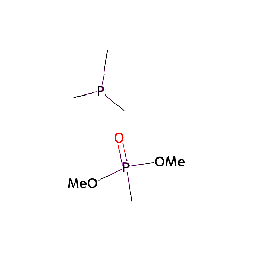 COP(C)(=O)OC.CP(C)C